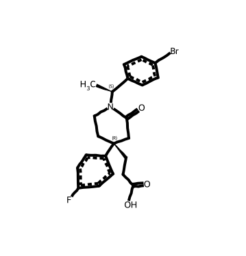 C[C@@H](c1ccc(Br)cc1)N1CC[C@@](CCC(=O)O)(c2ccc(F)cc2)CC1=O